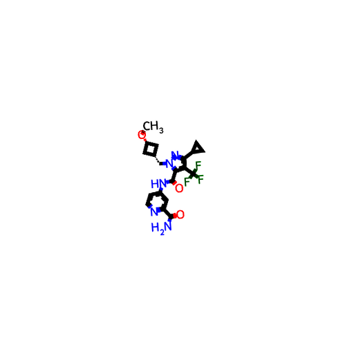 CO[C@H]1C[C@H](Cn2nc(C3CC3)c(C(F)(F)F)c2C(=O)Nc2ccnc(C(N)=O)c2)C1